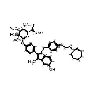 COC(=O)[C@H]1O[C@@H](Oc2ccc(-c3c(C)c4cc(O)ccc4n3Cc3ccc(OCCN4CCCCCC4)cc3)cc2)[C@@](O)(C(C)=O)[C@@H](OC(C)=O)[C@@H]1OC(C)=O